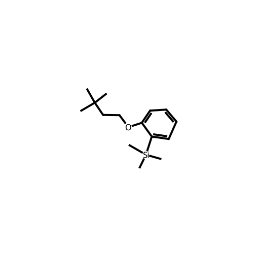 CC(C)(C)CCOc1ccccc1[Si](C)(C)C